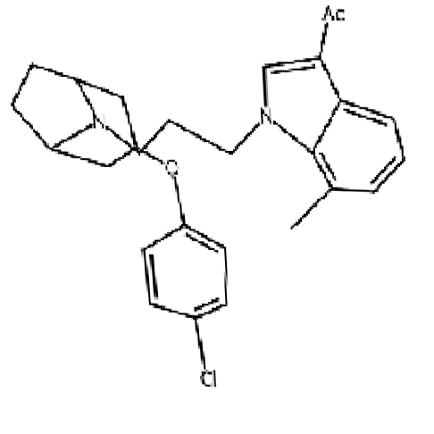 CC(=O)c1cn(CCCN2C3CCC2CC(Oc2ccc(Cl)cc2)C3)c2c(C)cccc12